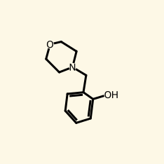 Oc1ccccc1CN1CCOCC1